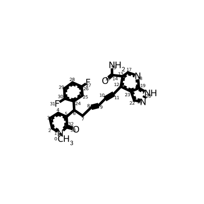 Cn1cccc(C(CC#CC#Cc2c(C(N)=O)cnc3[nH]ncc23)c2cc(F)ccc2F)c1=O